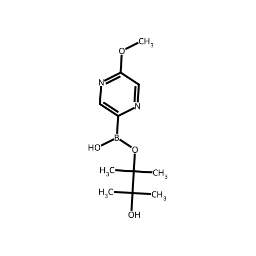 COc1cnc(B(O)OC(C)(C)C(C)(C)O)cn1